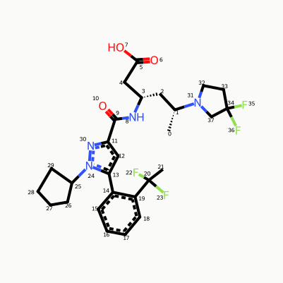 C[C@H](C[C@@H](CC(=O)O)NC(=O)c1cc(-c2ccccc2C(C)(F)F)n(C2CCCC2)n1)N1CCC(F)(F)C1